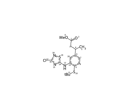 COC(=O)CC(C)c1ccc(SC(C)(C)C)c(Nc2nc(Cl)ns2)c1